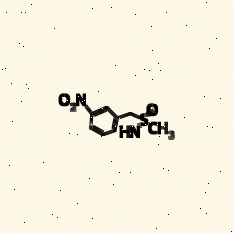 CS(=N)(=O)Cc1cccc([N+](=O)[O-])c1